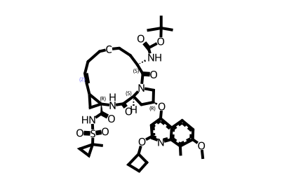 COc1ccc2c(O[C@@H]3C[C@H]4C(=O)N[C@]5(C(=O)NS(=O)(=O)C6(C)CC6)CC5/C=C\CCCCC[C@H](NC(=O)OC(C)(C)C)C(=O)N4C3)cc(OC3CCC3)nc2c1C